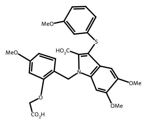 COc1cccc(Sc2c(C(=O)O)n(Cc3ccc(OC)cc3OCC(=O)O)c3cc(OC)c(OC)cc23)c1